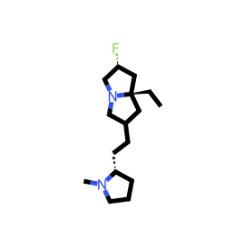 CC[C@@]12CC(CC[C@@H]3CCCN3C)CN1C[C@H](F)C2